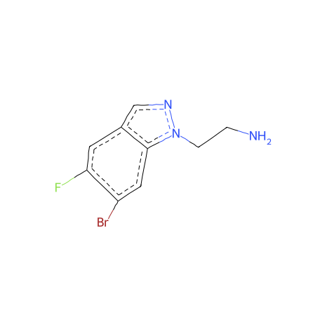 NCCn1ncc2cc(F)c(Br)cc21